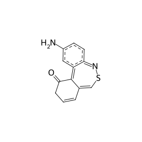 Nc1ccc2c(c1)=C1C(=O)CC=CC1=CSN=2